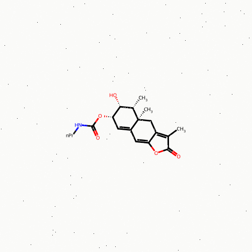 CCCNC(=O)O[C@H]1C=C2C=C3OC(=O)C(C)=C3C[C@]2(C)[C@@H](C)[C@H]1O